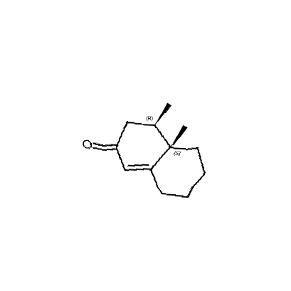 C[C@@H]1CC(=O)C=C2CCCC[C@]21C